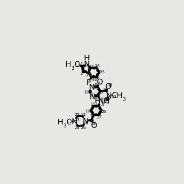 Cc1cc2c(F)c(Oc3ncnc(Nc4ccc(C(=O)N5CCN(C)CC5)cc4)c3C(=O)N(C)C)ccc2[nH]1